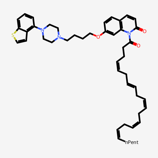 CCCCC/C=C\C/C=C\C/C=C\CC=CC/C=C\CCC(=O)n1c(=O)ccc2ccc(OCCCCN3CCN(c4cccc5sccc45)CC3)cc21